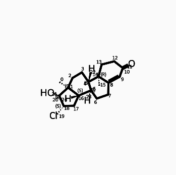 C[C@]12CC[C@H]3[C@@H](CCC4=CC(=O)CC[C@@]43C)[C@@H]1C[C@H](Cl)[C@@H]2O